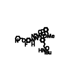 CCC(C)NC(=O)CCc1ccc(N(C(=O)Oc2c(C)cccc2C)c2ccnc(Nc3ccc(OCC4CCCN(C)C4)c(F)c3)n2)c(OC)c1